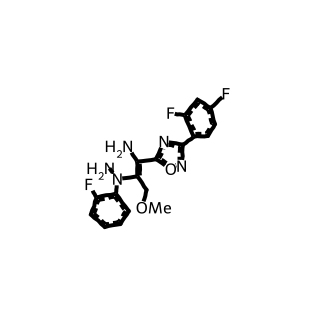 COC/C(=C(/N)c1nc(-c2ccc(F)cc2F)no1)N(N)c1ccccc1F